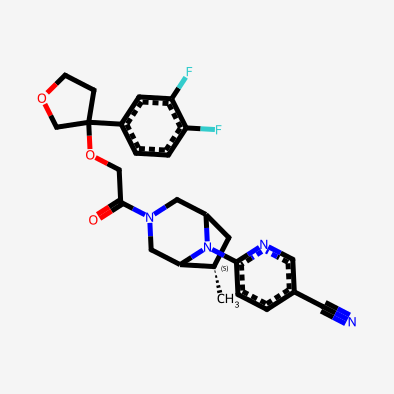 C[C@H]1CC2CN(C(=O)COC3(c4ccc(F)c(F)c4)CCOC3)CC1N2c1ccc(C#N)cn1